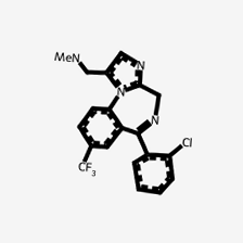 CNCc1cnc2n1-c1ccc(C(F)(F)F)cc1C(c1ccccc1Cl)=NC2